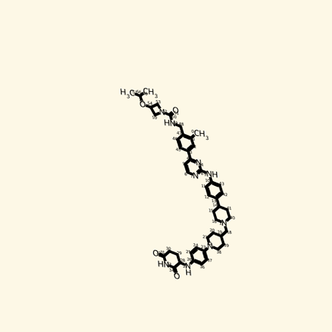 Cc1cc(-c2ccnc(Nc3ccc(C4CCN(CC5CCN(c6ccc(NC7CCC(=O)NC7=O)cc6)CC5)CC4)cc3)n2)ccc1CNC(=O)N1CC(OC(C)C)C1